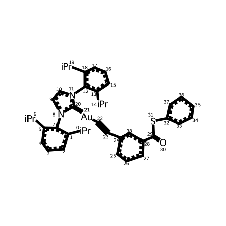 CC(C)c1cccc(C(C)C)c1-n1ccn(-c2c(C(C)C)cccc2C(C)C)[c]1=[Au][C]#Cc1cccc(C(=O)Sc2ccccc2)c1